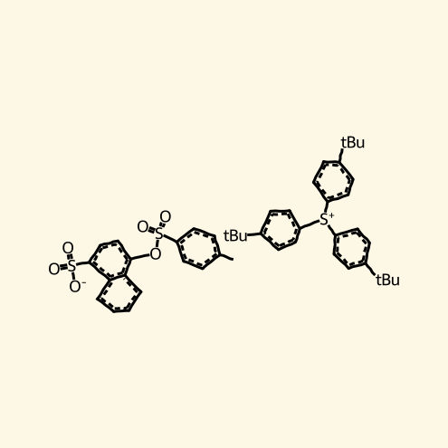 CC(C)(C)c1ccc([S+](c2ccc(C(C)(C)C)cc2)c2ccc(C(C)(C)C)cc2)cc1.Cc1ccc(S(=O)(=O)Oc2ccc(S(=O)(=O)[O-])c3ccccc23)cc1